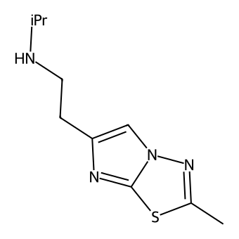 Cc1nn2cc(CCNC(C)C)nc2s1